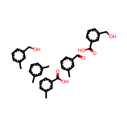 Cc1cccc(C(=O)O)c1.Cc1cccc(C)c1.Cc1cccc(C=O)c1.Cc1cccc(CO)c1.O=C(O)c1cccc(CO)c1